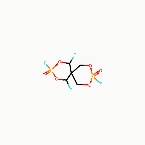 O=P1(F)OCC2(CO1)C(F)OP(=O)(F)OC2F